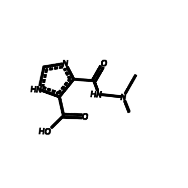 CN(C)NC(=O)c1nc[nH]c1C(=O)O